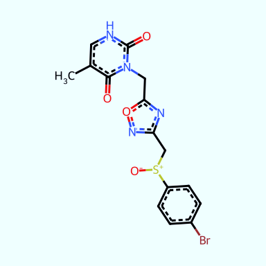 Cc1c[nH]c(=O)n(Cc2nc(C[S+]([O-])c3ccc(Br)cc3)no2)c1=O